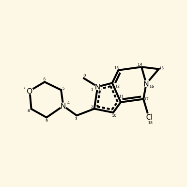 Cn1c(CN2CCOCC2)cc2c1=CC1CN1C=2Cl